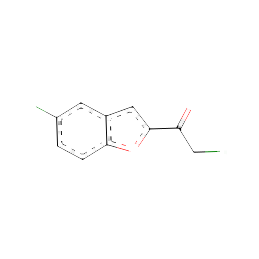 O=C(CBr)c1cc2cc(F)ccc2o1